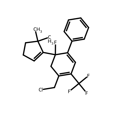 CC1(C)CCC=C1C1(F)CC(CCl)=C(C(F)(F)F)C=C1c1ccccc1